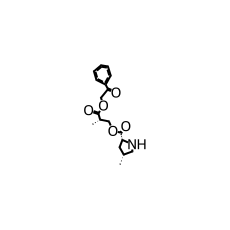 C[C@H]1CN[C@@H](C(=O)OC[C@H](C)C(=O)OCC(=O)c2ccccc2)C1